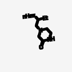 CCCCCCC(CC)CN1CCNC(=O)C1